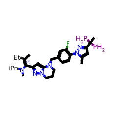 CC/C(C)=C(/c1cc2n(n1)CCCN2Cc1ccc(-n2nc(C(C)(P)P)cc2C)c(F)c1)N(C)C(C)C